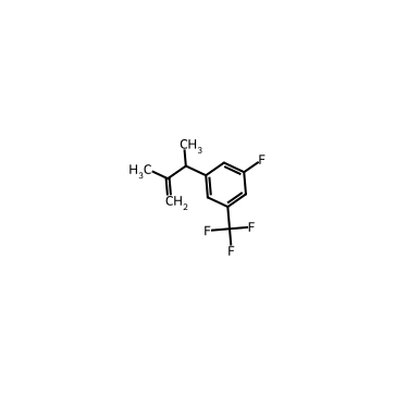 C=C(C)C(C)c1cc(F)cc(C(F)(F)F)c1